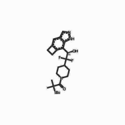 CC(C)(C)C(C)(C)C(=O)N1CCC(C(F)(F)[C@H](O)c2c3c(cc4cn[nH]c24)CC3)CC1